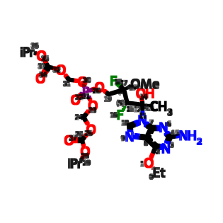 CCOc1nc(N)nc2c1ncn2[C@](C)(O)[C@H](F)[C@@](F)(COP(=O)(OCOC(=O)OC(C)C)OCOC(=O)OC(C)C)OC